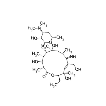 CC[C@H]1OC(=O)[C@H](C)[C@@H](O)[C@H](C)[C@@H](O[C@@H]2O[C@H](C)C[C@H](N(C)C)[C@H]2O)[C@@](C)(O)C[C@@H](C)C(=N)/C(CO)=C/[C@]1(C)O